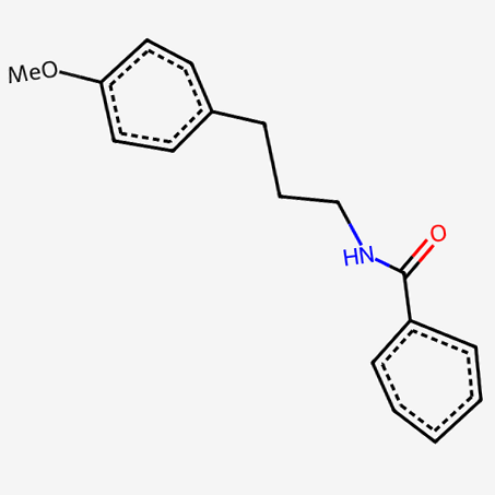 COc1ccc(CCCNC(=O)c2ccccc2)cc1